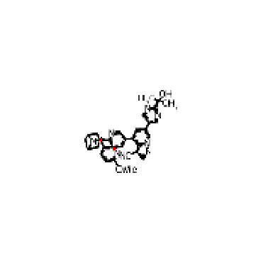 COc1ccc(CN2C3CC2CN(c2ccc(-c4cc(-c5cnc(C(C)(C)O)nc5)cn5ncc(C#N)c45)cn2)C3)cn1